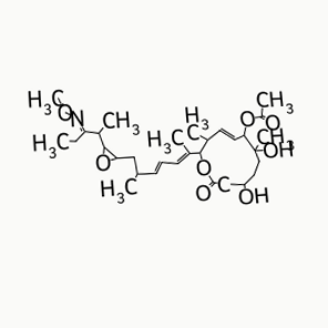 CC/C(=N\OC)C(C)C1OC1CC(C)/C=C/C=C(\C)C1OC(=O)CC(O)CCC(C)(O)C(OC(C)=O)/C=C/C1C